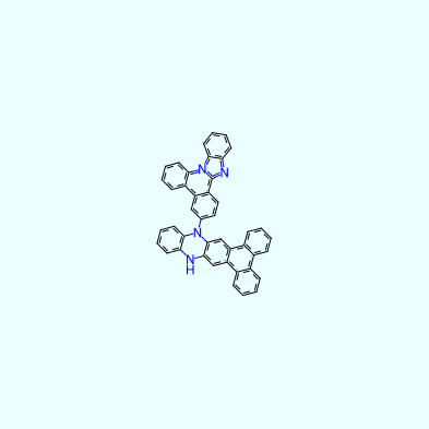 c1ccc2c(c1)Nc1cc3c4ccccc4c4ccccc4c3cc1N2c1ccc2c(c1)c1ccccc1n1c3ccccc3nc21